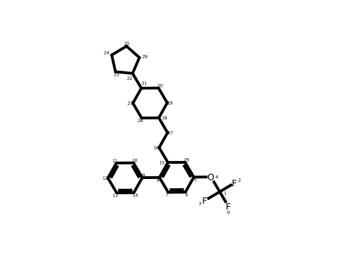 FC(F)(F)Oc1ccc(-c2ccccc2)c(CCC2CCC(C3CCCC3)CC2)c1